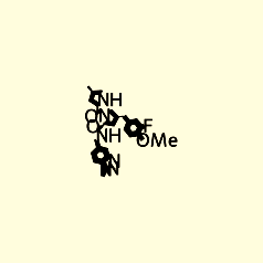 COc1ccc(C[C@@H]2C[C@@H](C(=O)NCc3ccc4c(c3)nnn4C)N(C(=O)[C@H]3C[C@@H](C)CN3)C2)cc1F